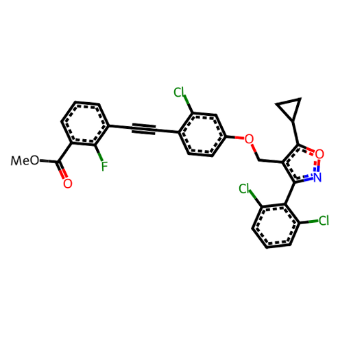 COC(=O)c1cccc(C#Cc2ccc(OCc3c(-c4c(Cl)cccc4Cl)noc3C3CC3)cc2Cl)c1F